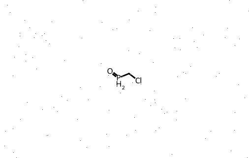 O=[PH2]CCl